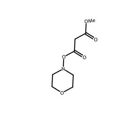 COC(=O)CC(=O)ON1CCOCC1